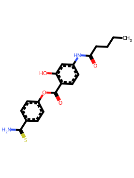 CCCCC(=O)Nc1ccc(C(=O)Oc2ccc(C(N)=S)cc2)c(O)c1